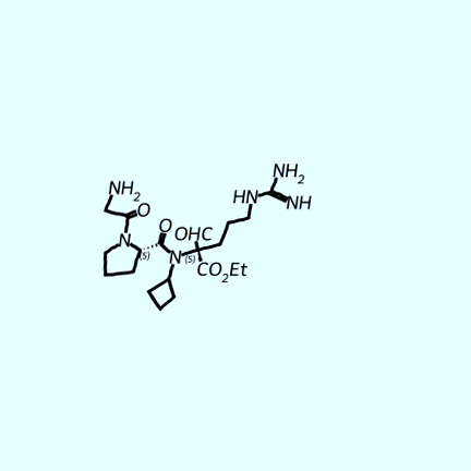 CCOC(=O)[C@@](C=O)(CCCNC(=N)N)N(C(=O)[C@@H]1CCCN1C(=O)CN)C1CCC1